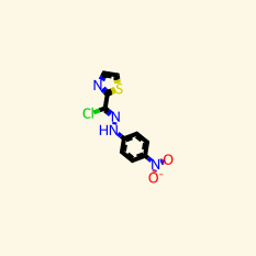 O=[N+]([O-])c1ccc(NN=C(Cl)c2nccs2)cc1